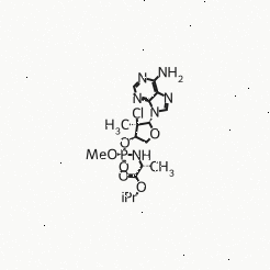 CO[P@](=O)(N[C@H](C)C(=O)OC(C)C)O[C@@H]1CO[C@@H](n2cnc3c(N)ncnc32)[C@]1(C)Cl